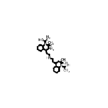 CC(O)N1C2CCCCC2C(CCNCCC2CC(C)(C)N(C(C)O)C3CCCCC23)CC1(C)C